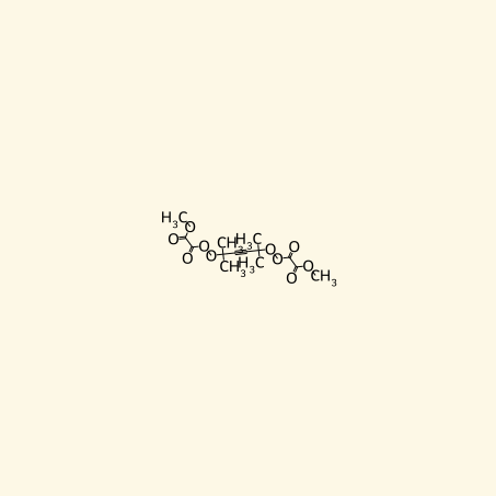 COC(=O)C(=O)OOC(C)(C)C#CC(C)(C)OOC(=O)C(=O)OC